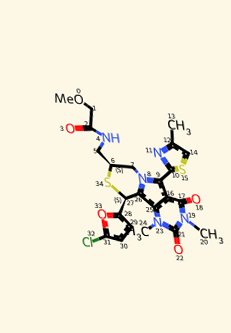 COCC(=O)NC[C@H]1Cn2c(-c3nc(C)cs3)c3c(=O)n(C)c(=O)n(C)c3c2[C@@H](c2ccc(Cl)o2)S1